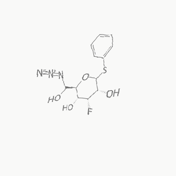 [N-]=[N+]=NC(O)[C@H]1OC(Sc2ccccc2)[C@H](O)[C@H](F)[C@@H]1O